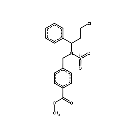 COC(=O)c1ccc(CN(C(CCCl)c2ccccc2)[SH](=O)=O)cc1